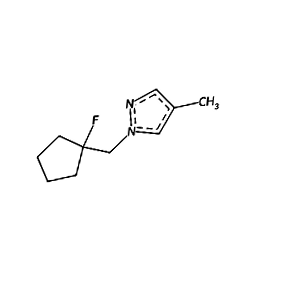 Cc1cnn(CC2(F)CCCC2)c1